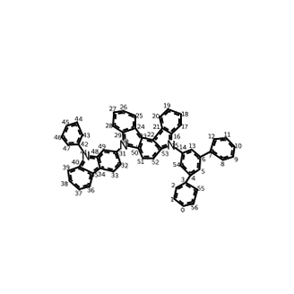 c1ccc(-c2cc(-c3ccccc3)cc(-n3c4ccccc4c4c5c6ccccc6n(-c6ccc7c8ccccc8n(-c8ccccc8)c7c6)c5ccc43)c2)cc1